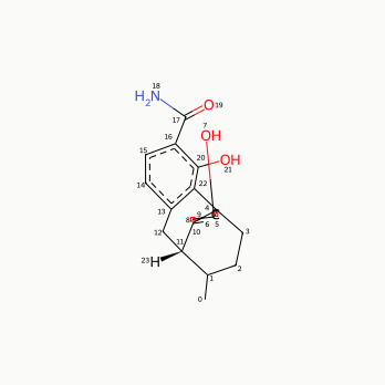 CC1CCC23CC(O)C=CC2[C@H]1Cc1ccc(C(N)=O)c(O)c13